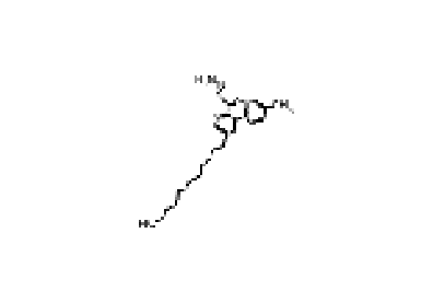 Cc1ccc2c(c1)nc(N=NN)c1ncc(CCCCCCCCCCCO)cc12